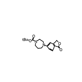 CC(C)(C)OC(=O)N1CCCN(c2ccc3c(c2)COC3=O)CC1